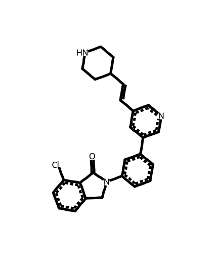 O=C1c2c(Cl)cccc2CN1c1cccc(-c2cncc(/C=C/C3CCNCC3)c2)c1